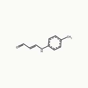 Cc1ccc(NC=CC=O)cc1